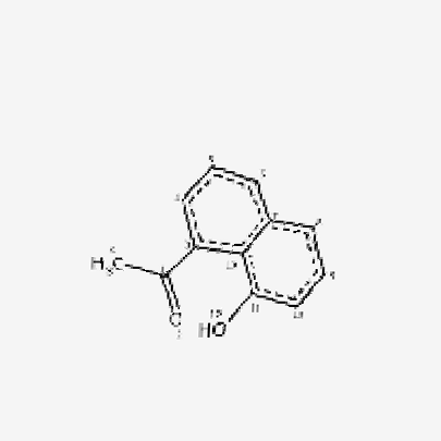 CC(=O)c1cccc2cccc(O)c12